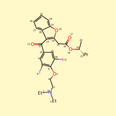 CCN(CC)CCOc1c(I)cc(C(=O)c2c(CC(=O)O[C@H](C)C(C)C)oc3ccccc23)cc1I